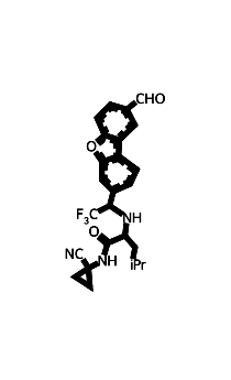 CC(C)CC(NC(c1ccc2c(c1)oc1ccc(C=O)cc12)C(F)(F)F)C(=O)NC1(C#N)CC1